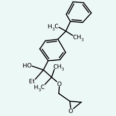 CCC(O)(c1ccc(C(C)(C)c2ccccc2)cc1)C(C)(C)OCC1CO1